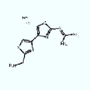 Cl.Cl.NCc1nc(-c2csc(N=C(N)N)n2)cs1